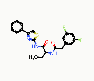 CCC(NC(=O)Cc1cc(F)cc(F)c1)C(=O)Nc1nc(-c2ccccc2)cs1